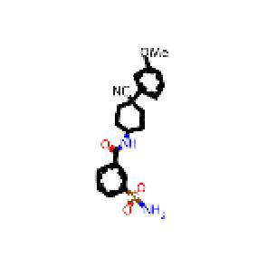 COc1cccc(C2(C#N)CCC(NC(=O)c3cccc(S(N)(=O)=O)c3)CC2)c1